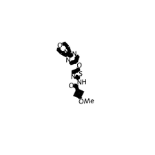 COC12CC(C(=O)Nc3ncc(Oc4cnc(N5C6CCC5COC6)nc4)s3)(C1)C2